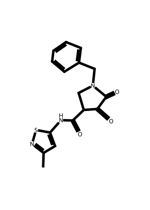 Cc1cc(NC(=O)C2CN(Cc3ccccc3)C(=O)C2=O)sn1